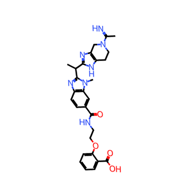 CC(=N)N1CCc2[nH]c(C(C)c3nc4ccc(C(=O)NCCOc5ccccc5C(=O)O)cc4n3C)nc2C1